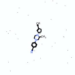 C#CC1=C[C@@H](N2CCN(c3ccc(C#N)cc3)CC2C)CC1